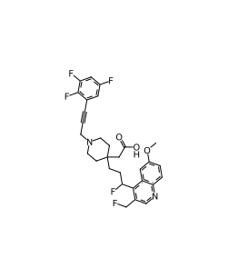 COc1ccc2ncc(CF)c(C(F)CCC3(CC(=O)O)CCN(CC#Cc4cc(F)cc(F)c4F)CC3)c2c1